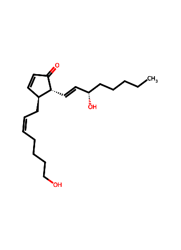 CCCCC[C@H](O)/C=C/[C@H]1C(=O)C=C[C@@H]1C/C=C\CCCCO